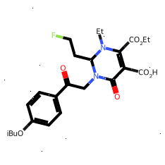 CCOC(=O)C1=C(C(=O)O)C(=O)N(CC(=O)c2ccc(OCC(C)C)cc2)C(CCF)N1CC